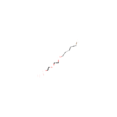 OOCCOCCOCCCCCBr